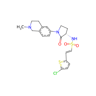 CN1CCc2cc(N3CC[C@H](NS(=O)(=O)C=Cc4ccc(Cl)s4)C3=O)ccc2C1